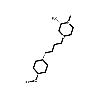 CC(C)O[C@H]1CC[C@H](CCCCN2CCN(C)[C@@H](C(F)(F)F)C2)CC1